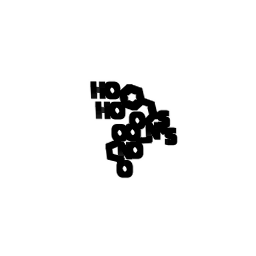 O=C(CN1C(=O)C(=Cc2ccc(O)c(O)c2)SC1=S)ON1C(=O)CCC1=O